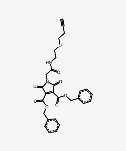 C#CCCOCCNC(=O)CN1C(=O)C(C(=O)OCc2ccccc2)=C(C(=O)OCc2ccccc2)C1=O